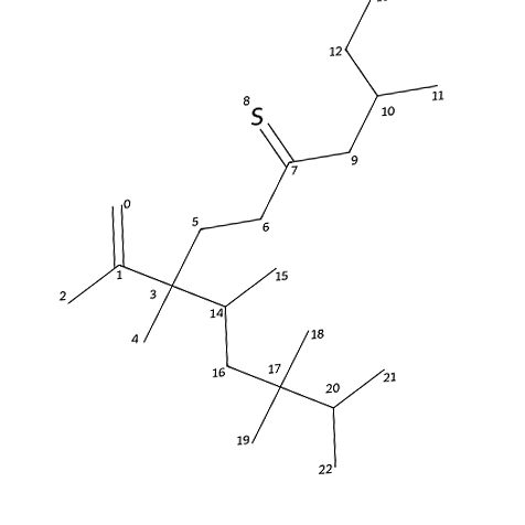 C=C(C)C(C)(CCC(=S)CC(C)CC)C(C)CC(C)(C)C(C)C